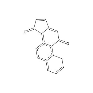 O=C1C=CC2=CC(=O)c3c4c(ccc3=C12)=CC=CC4